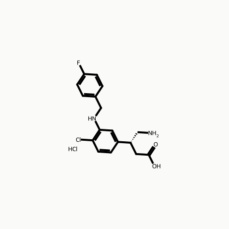 Cl.NC[C@H](CC(=O)O)c1ccc(Cl)c(NCc2ccc(F)cc2)c1